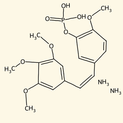 COc1ccc(/C=C\c2cc(OC)c(OC)c(OC)c2)cc1OP(=O)(O)O.N.N